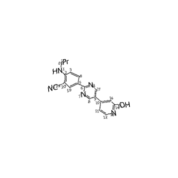 CC(C)Nc1ccc(-c2ncc(-c3ccnc(O)c3)cn2)cc1C#N